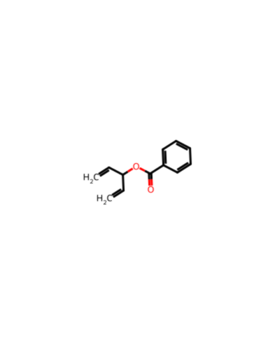 C=CC(C=C)OC(=O)c1ccccc1